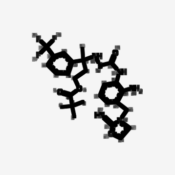 CC(C)(C)C(=O)OCCC(C)(NSC(=O)Nc1cccc(Cn2ccoc2=N)c1N)c1cccc(C(F)(F)F)c1